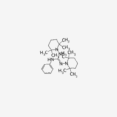 CC1(C)CCCC(C)(C)N1N=C(Nc1ccccc1)NN1C(C)(C)CCCC1(C)C